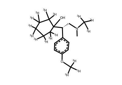 [2H]C([2H])([2H])Oc1ccc([C@@H](CN(C)C([2H])([2H])[2H])C2(O)C([2H])([2H])C([2H])([2H])C([2H])([2H])C([2H])([2H])C2([2H])[2H])cc1